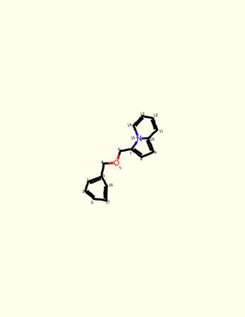 c1ccc(COCc2ccc3ccccn23)cc1